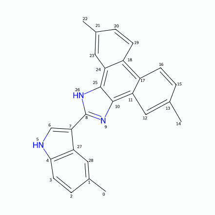 Cc1ccc2[nH]cc(-c3nc4c5cc(C)ccc5c5ccc(C)cc5c4[nH]3)c2c1